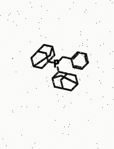 c1ccc(CP(C2C3CC4CC(C3)CC2C4)C23CC4CC(CC(C4)C2)C3)cc1